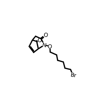 O=C1C2C=CC1N(OCCCCCCBr)C(=O)C2